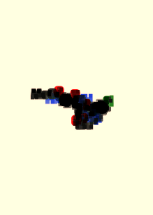 COC(=O)Nc1ccc(-c2cc(C(CC(=O)OC(C)(C)C)NC(=O)/C=C/c3cc(Cl)ccc3-n3cnnn3)n[nH]c2=O)cc1